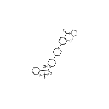 CC1CCCN1C(=O)c1ccc(N2CCC(C3CCN(C(=O)C(O)(c4ccccc4)C(F)(F)F)CC3)CC2)cc1Cl